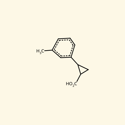 Cc1cccc(C2CC2C(=O)O)c1